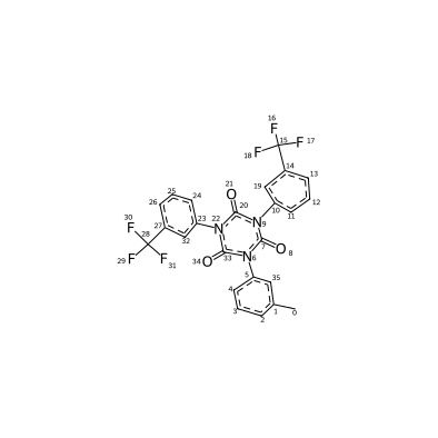 Cc1cccc(-n2c(=O)n(-c3cccc(C(F)(F)F)c3)c(=O)n(-c3cccc(C(F)(F)F)c3)c2=O)c1